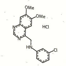 COc1cc2ncnc(CNc3cccc(Cl)c3)c2cc1OC.Cl